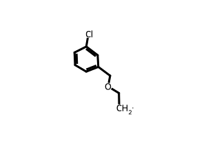 [CH2]COCc1cccc(Cl)c1